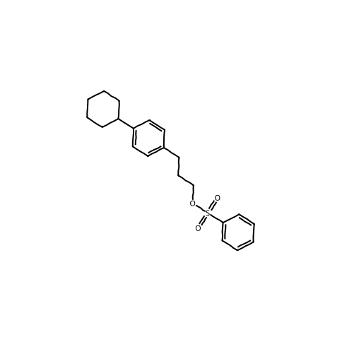 O=S(=O)(OCCCc1ccc(C2CCCCC2)cc1)c1ccccc1